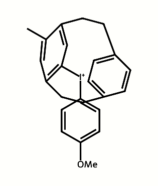 COc1ccc([I+]c2cc3c(C)cc2CCc2ccc(cc2)CC3)cc1